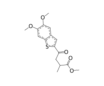 COC(=O)C(C)CC(=O)c1cc2cc(OC)c(OC)cc2s1